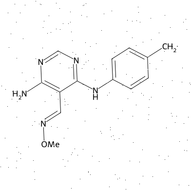 [CH2]c1ccc(Nc2ncnc(N)c2C=NOC)cc1